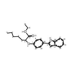 CCCCCC(Oc1ccc(-c2cc3ccccc3o2)cc1)C(=O)OCC